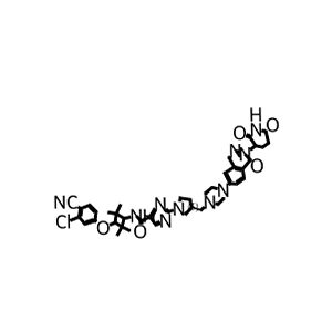 CC1(C)C(NC(=O)c2cnc(N3CC[C@@H](CN4CCN(c5ccc6c(=O)n(C7CCC(=O)NC7=O)ncc6c5)CC4)C3)nc2)C(C)(C)C1Oc1ccc(C#N)c(Cl)c1